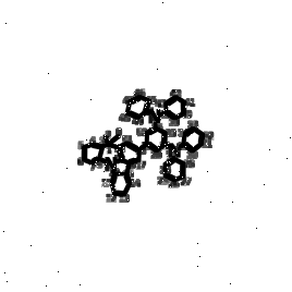 CC1(C)c2ccccc2-n2c3ccccc3c3cc(-c4cc(N(c5ccccc5)c5ccccc5)cc(N(c5ccccc5)c5ccccc5)c4)cc1c32